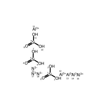 O=[Si](O)O.O=[Si](O)O.O=[Si](O)O.[Al+3].[Al+3].[Al+3].[Al+3].[Al+3].[N-3].[N-3].[N-3]